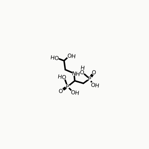 O=P(O)(O)CC(NCC(O)O)P(=O)(O)O